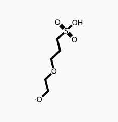 [O]CCOCCCS(=O)(=O)O